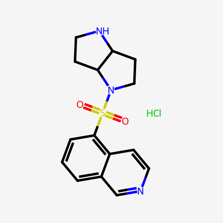 Cl.O=S(=O)(c1cccc2cnccc12)N1CCC2NCCC21